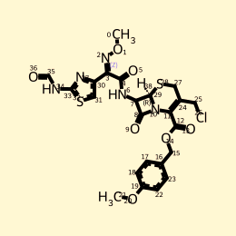 CO/N=C(\C(=O)NC1C(=O)N2C(C(=O)OCc3ccc(OC)cc3)=C(CCl)CS[C@H]12)c1csc(NC=O)n1